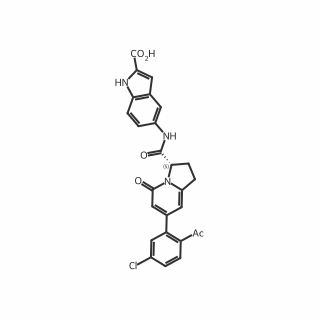 CC(=O)c1ccc(Cl)cc1-c1cc2n(c(=O)c1)[C@H](C(=O)Nc1ccc3[nH]c(C(=O)O)cc3c1)CC2